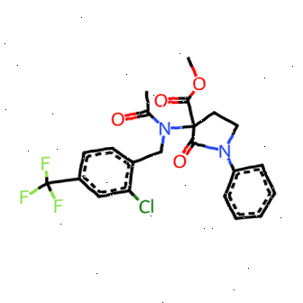 COC(=O)C1(N(Cc2ccc(C(F)(F)F)cc2Cl)C(C)=O)CCN(c2ccccc2)C1=O